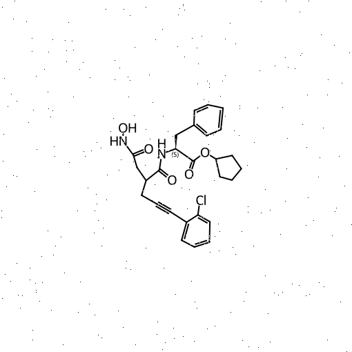 O=C(CC(CC#Cc1ccccc1Cl)C(=O)N[C@@H](Cc1ccccc1)C(=O)OC1CCCC1)NO